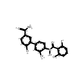 CCN(C(=O)c1c(F)cccc1Cl)c1ccc(-c2cc(C(N)=O)ccc2Cl)cc1C(F)(F)F